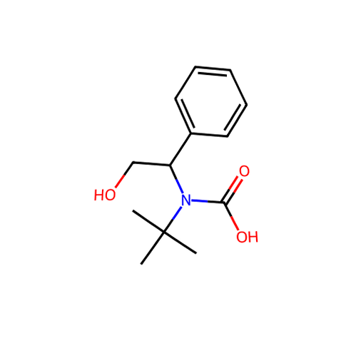 CC(C)(C)N(C(=O)O)C(CO)c1ccccc1